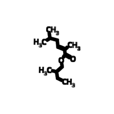 CCC(C)COC(=O)C(C)=CCC(C)C